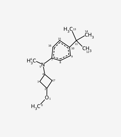 COC1CC(N(C)c2ccc(C(C)(C)C)cc2)C1